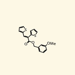 COc1cccc(COC(=O)/C(=C/c2cccs2)c2cccs2)c1